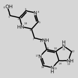 OCC1=CN=CC(CNC2=C3NCNC3NC=N2)N1